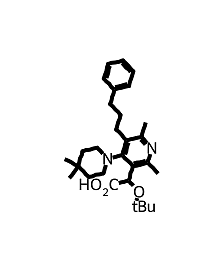 Cc1nc(C)c(C(OC(C)(C)C)C(=O)O)c(N2CCC(C)(C)CC2)c1CCCc1ccccc1